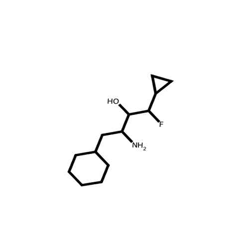 NC(CC1CCCCC1)C(O)C(F)C1CC1